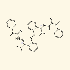 CC(C)/C(=N\NC(=S)N(C)c1ccccc1)c1ccccc1SSc1ccccc1/C(=N/NC(=S)N(C)c1ccccc1)C(C)C